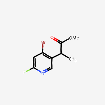 COC(=O)C(C)c1cnc(F)cc1Br